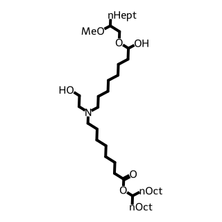 CCCCCCCCC(CCCCCCCC)OC(=O)CCCCCCCN(CCO)CCCCCCCC(O)OCC(CCCCCCC)OC